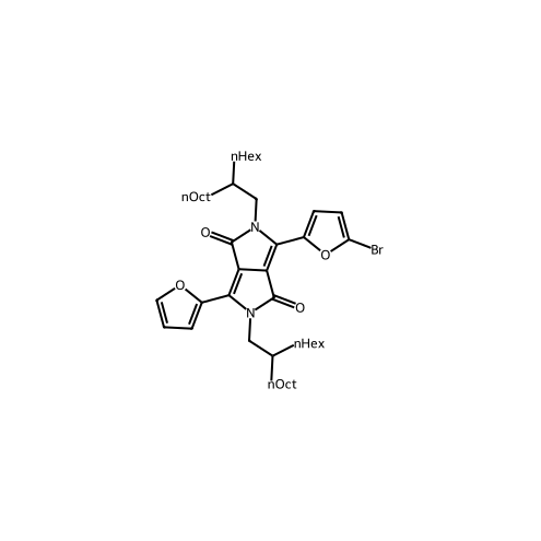 CCCCCCCCC(CCCCCC)CN1C(=O)C2=C(c3ccc(Br)o3)N(CC(CCCCCC)CCCCCCCC)C(=O)C2=C1c1ccco1